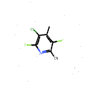 Cc1c(F)c(C#N)nc(F)c1Cl